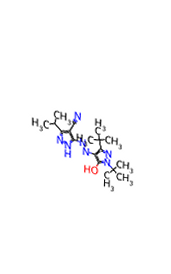 CC(C)c1n[nH]c(/N=N/c2c(C(C)(C)C)nn(C(C)(C)C)c2O)c1C#N